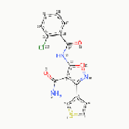 NC(=O)c1c(-c2ccsc2)noc1NC(=O)c1ccccc1Cl